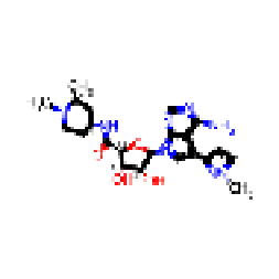 C[C@H]1C[C@@H](NC(=O)[C@H]2OC(n3cc(-c4ccn(C)n4)c4c(N)ncnc43)[C@H](O)[C@@H]2O)CCN1C